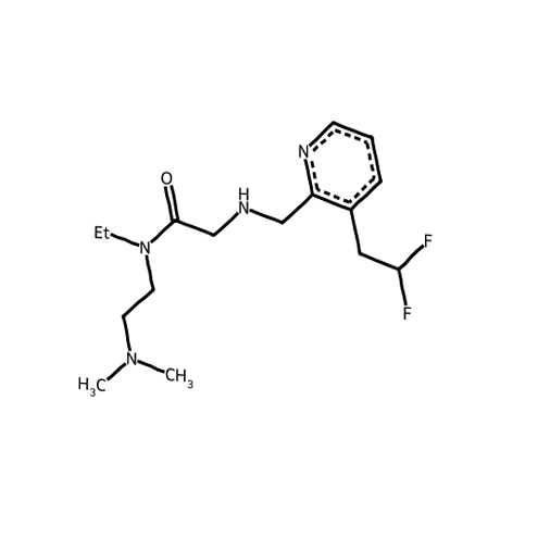 CCN(CCN(C)C)C(=O)CNCc1ncccc1CC(F)F